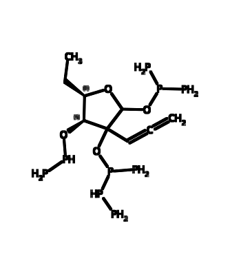 C=C=CC1(OP(P)PP)C(OP(P)P)O[C@H](CC)[C@@H]1OPP